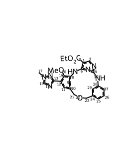 CCOC(=O)c1cnc2nc1Nc1cc(cc(-c3ncn(C)n3)c1OC)COCc1cccc(c1)N2